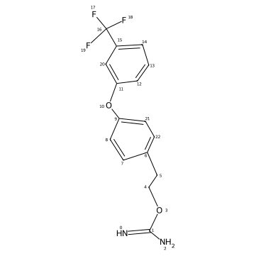 N=C(N)OCCc1ccc(Oc2cccc(C(F)(F)F)c2)cc1